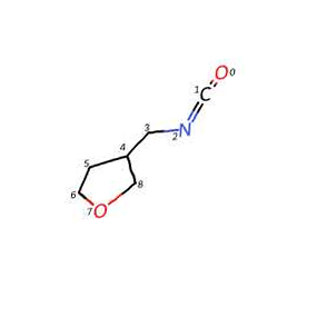 O=C=NCC1CCOC1